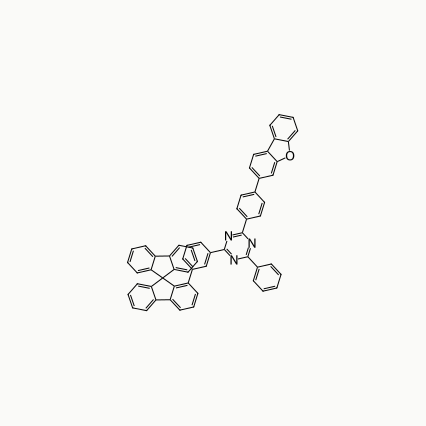 c1ccc(-c2nc(-c3ccc(-c4ccc5c(c4)oc4ccccc45)cc3)nc(-c3cccc(-c4cccc5c4C4(c6ccccc6-c6ccccc64)c4ccccc4-5)c3)n2)cc1